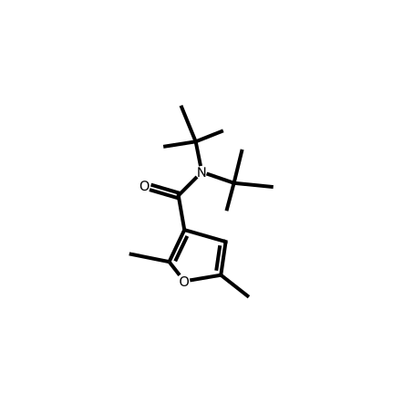 Cc1cc(C(=O)N(C(C)(C)C)C(C)(C)C)c(C)o1